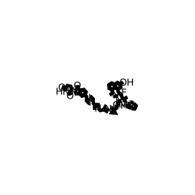 C=N/C(=C(/F)c1nc(OCC2(CN3CC(CN4CC(N5CCN(c6ccc7c(c6)CN([C@H]6CCC(=O)NC6=O)C7=O)CC5)C4)C3)CC2)nc(N2CC3CCC(C2)N3)c1C)c1cc(O)cc2cccc(CC)c12